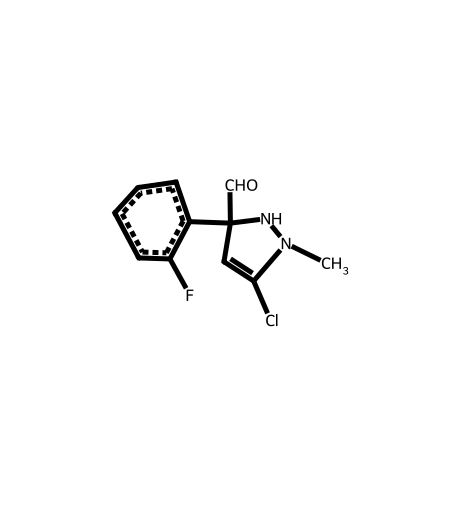 CN1NC(C=O)(c2ccccc2F)C=C1Cl